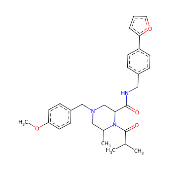 COc1ccc(CN2CC(C)N(C(=O)C(C)C)C(C(=O)NCc3ccc(-c4ccco4)cc3)C2)cc1